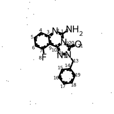 Nc1nc2cccc(F)c2c2nn(Cc3ccccc3)c(=O)n12